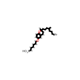 CC(C)CCCC(C)CCCC1(C)CCc2cc(OCCCCCCS(=O)(=O)O)ccc2O1